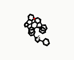 c1ccc(-c2ccc(-c3ccc(-c4cccc5c4C4(c6ccccc6-5)c5ccccc5C5(c6ccccc6)c6ccccc6-c6cccc4c65)cc3)s2)cc1